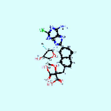 Nc1nc(Cl)nc2c1ncn2[C@@H]1O[C@H](COC(Cc2ccc3ccccc3c2)(C(=O)O)C(=O)O)[C@@H](O)[C@@H]1F